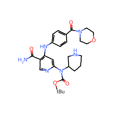 CC(C)(C)OC(=O)N(c1cc(Nc2ccc(C(=O)N3CCOCC3)cc2)c(C(N)=O)cn1)C1CCCNC1